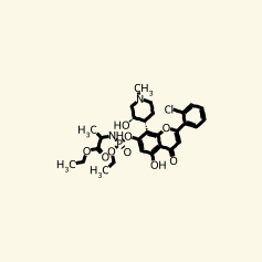 CCOC(=O)C(C)NP(=O)(OCC)Oc1cc(O)c2c(=O)cc(-c3ccccc3Cl)oc2c1[C@H]1CCN(C)C[C@H]1O